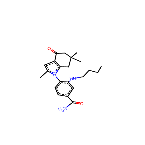 CCCCNc1cc(C(N)=O)ccc1-n1c(C)cc2c1CC(C)(C)CC2=O